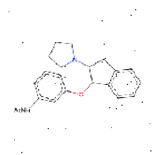 CC(=O)Nc1cccc(OC2c3ccccc3CC2N2CCCC2)c1